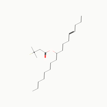 CCCC=CCCCC(CCCCCCCC)OC(=O)CC(C)(C)S